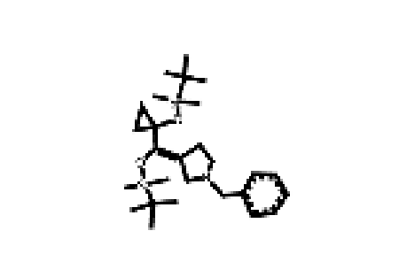 CC(C)(C)[Si](C)(C)OC(=C1CCN(Cc2ccccc2)C1)C1(O[Si](C)(C)C(C)(C)C)CC1